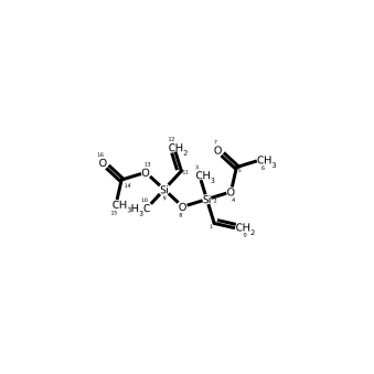 C=C[Si](C)(OC(C)=O)O[Si](C)(C=C)OC(C)=O